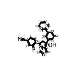 N#Cc1ccc([C@H]2C[C@](O)(c3cccc(-c4ncccn4)c3)c3cncn32)c(F)c1